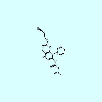 CC1=C(OC(=O)OCCC#N)C(c2cccnc2)C(OC(=O)OC(C)C)=C(C)N1